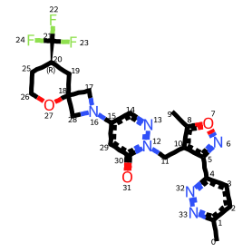 Cc1ccc(-c2noc(C)c2Cn2ncc(N3CC4(C[C@H](C(F)(F)F)CCO4)C3)cc2=O)nn1